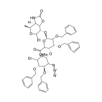 CCC1O[C@@H](C)[C@H]2NC(=O)OC2[C@@H]1O[C@@H]1OC(C(=O)OC)[C@@H](O[C@H]2OC(CC)[C@@H](OCc3ccccc3)[C@H](OCc3ccccc3)C2N=[N+]=[N-])[C@@H](OCc2ccccc2)C1OCc1ccccc1